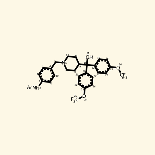 CC(=O)Nc1ccc(CN2CCC(C(O)(c3ccc(OC(F)(F)F)cc3)c3ccc(OC(F)(F)F)cc3)CC2)cc1